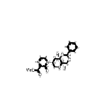 COC(=O)c1nccn([C@H]2CO[C@@H]3COC(c4ccccc4)O[C@@H]3C2)c1=O